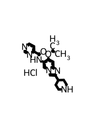 CC(C)Oc1cc2nc(C3CCNCC3)cn2cc1NC(=O)c1ccncn1.Cl